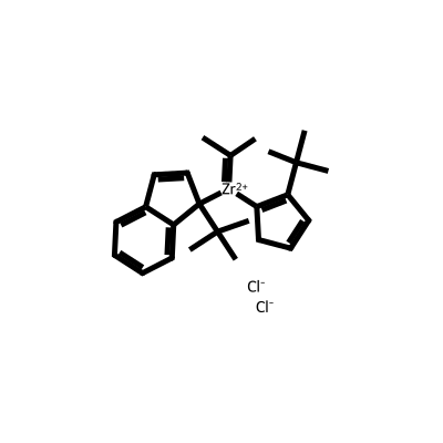 C[C](C)=[Zr+2]([C]1=C(C(C)(C)C)C=CC1)[C]1(C(C)(C)C)C=Cc2ccccc21.[Cl-].[Cl-]